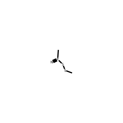 CSSP(C)#N